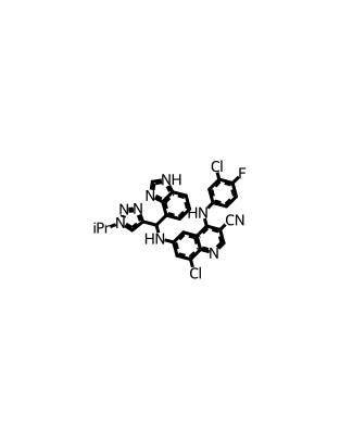 CC(C)n1cc(C(Nc2cc(Cl)c3ncc(C#N)c(Nc4ccc(F)c(Cl)c4)c3c2)c2cccc3[nH]cnc23)nn1